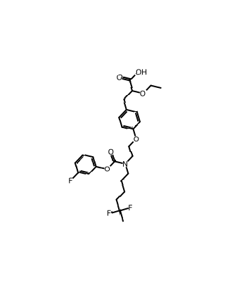 CCOC(Cc1ccc(OCCN(CCCCC(C)(F)F)C(=O)Oc2cccc(F)c2)cc1)C(=O)O